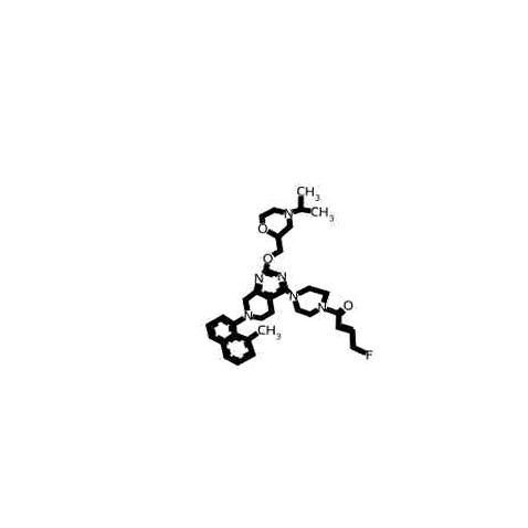 Cc1cccc2cccc(N3CCc4c(nc(OCC5CN(C(C)C)CCO5)nc4N4CCN(C(=O)/C=C/CF)CC4)C3)c12